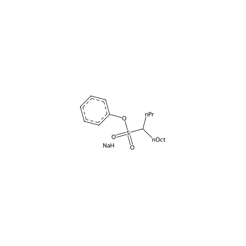 CCCCCCCCC(CCC)S(=O)(=O)Oc1ccccc1.[NaH]